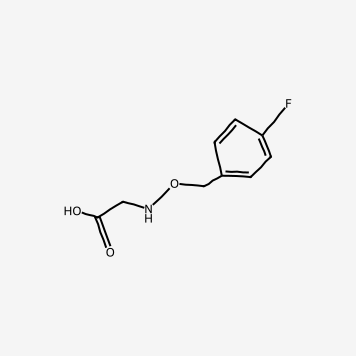 O=C(O)CNOCc1ccc(F)cc1